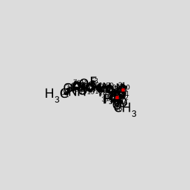 CCC(=O)Nc1cccc(S(=O)(=O)c2ccc(N3CC(F)(CN4CCC([C@@](CN5CCC5)(c5cccc(F)c5)[C@H]5CCC[C@@H]5NC(=O)OC)CC4)C3)c(F)c2)c1